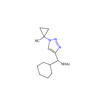 CC(=O)NC(c1cn(C2(C#N)CC2)nn1)C1CCCCC1